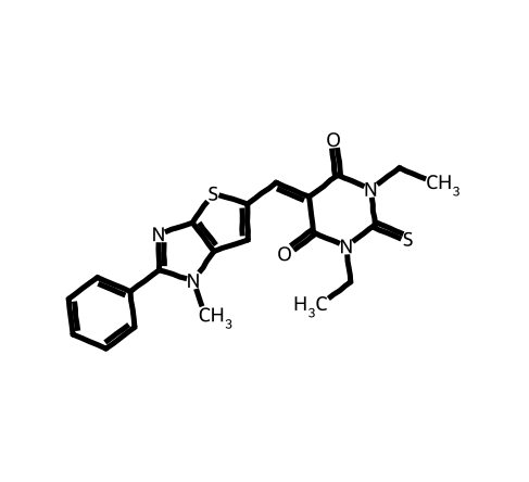 CCN1C(=O)C(=Cc2cc3c(nc(-c4ccccc4)n3C)s2)C(=O)N(CC)C1=S